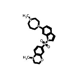 CN1CCCN(c2ccc3ccn(S(=O)(=O)c4ccc5c(c4)OCCN5C)c3c2)CC1